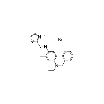 CCN(Cc1ccccc1)c1ccc(/N=N/c2scc[n+]2C)c(C)c1.[Br-]